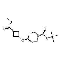 COC(=O)[C@H]1C[C@H](OC2CCN(C(=O)OC(C)(C)C)CC2)C1